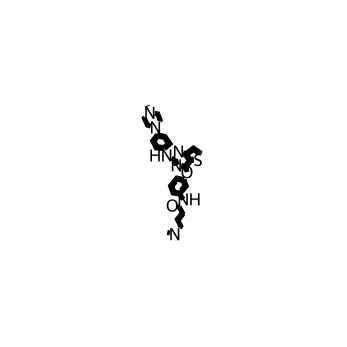 CN(C)CC=CC(=O)Nc1cccc(Oc2nc(Nc3ccc(N4CCN(C)CC4)cc3)nc3ccsc23)c1